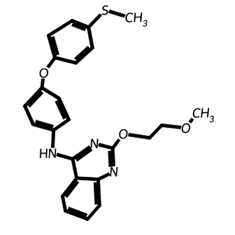 COCCOc1nc(Nc2ccc(Oc3ccc(SC)cc3)cc2)c2ccccc2n1